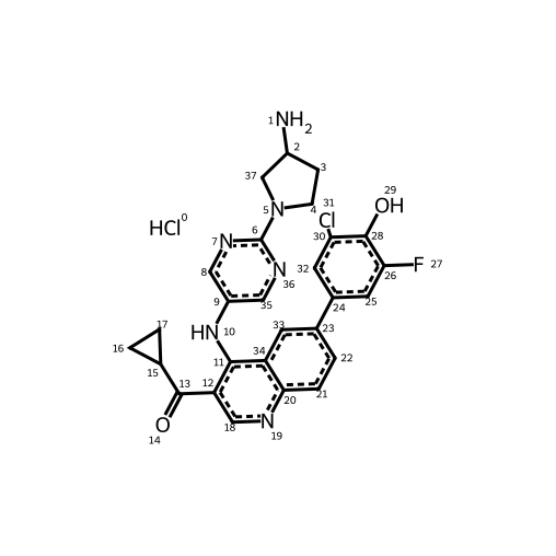 Cl.NC1CCN(c2ncc(Nc3c(C(=O)C4CC4)cnc4ccc(-c5cc(F)c(O)c(Cl)c5)cc34)cn2)C1